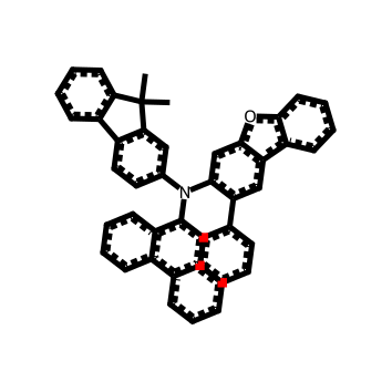 CC1(C)c2ccccc2-c2ccc(N(c3cc4oc5ccccc5c4cc3-c3ccccc3)c3cc4ccccc4c4ccccc34)cc21